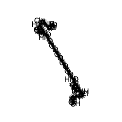 COc1cc(Nc2cc(NCc3cccc(S(=O)(=O)F)c3)ccc2Cl)cc2cc(OCC(=O)NCCOCCOCCOCCOCCOCCOCCOCCOCCOCCNC(=O)COc3cc4cc(Nc5cc(NCc6cccc(S(=O)(=O)F)c6)ccc5Cl)cc(OC)c4n(C)c3=O)c(=O)n(C)c12